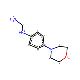 NCNc1ccc(N2CCOCC2)cc1